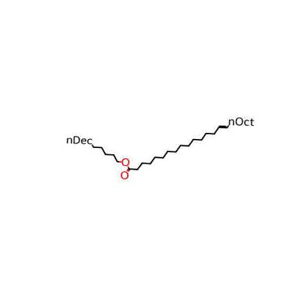 CCCCCCCCC=CCCCCCCCCCCCCCC(=O)OCCCCCCCCCCCCCCC